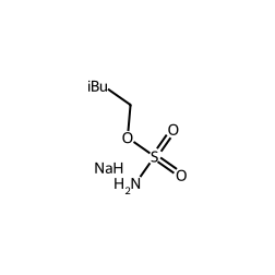 CCC(C)COS(N)(=O)=O.[NaH]